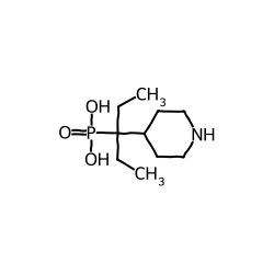 CCC(CC)(C1CCNCC1)P(=O)(O)O